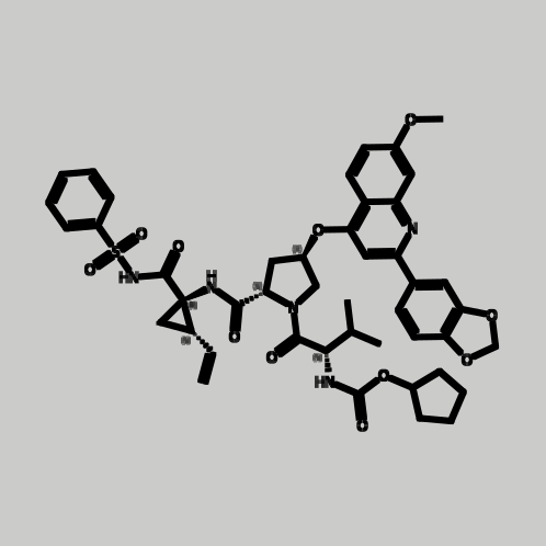 C=C[C@@H]1C[C@]1(NC(=O)[C@@H]1C[C@@H](Oc2cc(-c3ccc4c(c3)OCO4)nc3cc(OC)ccc23)CN1C(=O)[C@@H](NC(=O)OC1CCCC1)C(C)C)C(=O)NS(=O)(=O)c1ccccc1